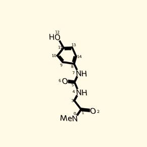 CNC(=O)CNC(=O)Nc1ccc(O)cc1